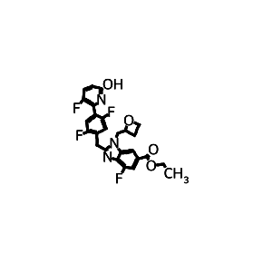 CCOC(=O)c1cc(F)c2nc(Cc3cc(F)c(-c4nc(O)ccc4F)cc3F)n(CC3CCO3)c2c1